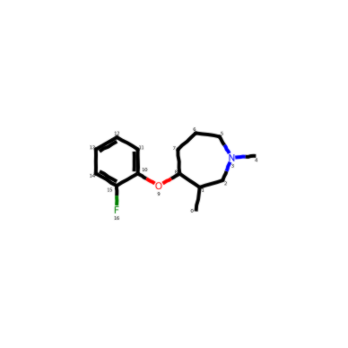 CC1CN(C)CCCC1Oc1ccccc1F